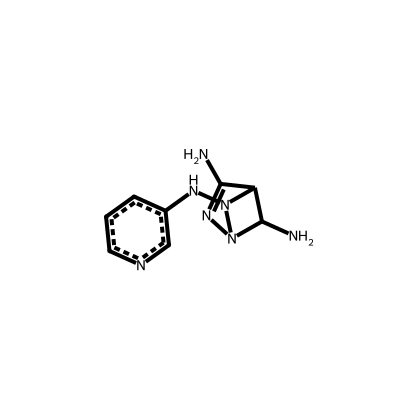 NC1=NN2C(N)C1N2Nc1cccnc1